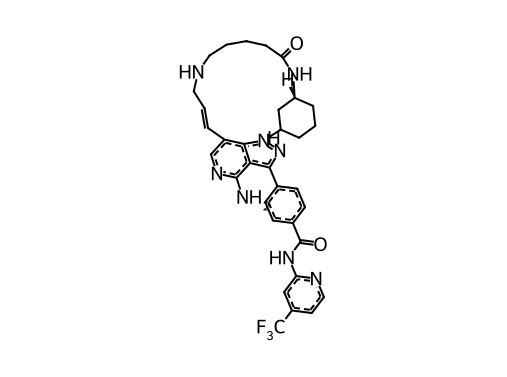 Nc1ncc2c3c1c(-c1ccc(C(=O)Nc4cc(C(F)(F)F)ccn4)cc1)nn3[C@@H]1CCC[C@H](C1)NC(=O)CCCCNC/C=C/2